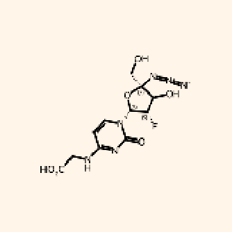 [N-]=[N+]=N[C@]1(CO)O[C@@H](n2ccc(NCC(=O)O)nc2=O)[C@@H](F)C1O